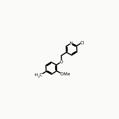 COc1cc(C)ccc1OCc1ccc(Cl)nc1